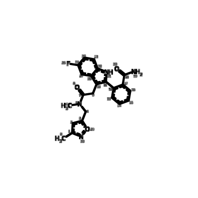 Cc1cc(CN(C)C(=O)Cc2c(-c3ccccc3C(N)=O)[nH]c3ccc(F)cc23)on1